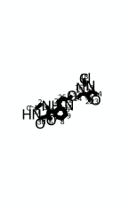 C[C@@H]1CNc2c(oc3ccc4nc(OCc5nc(Cl)nc6c5COC6)ccc4c23)C(=O)N1